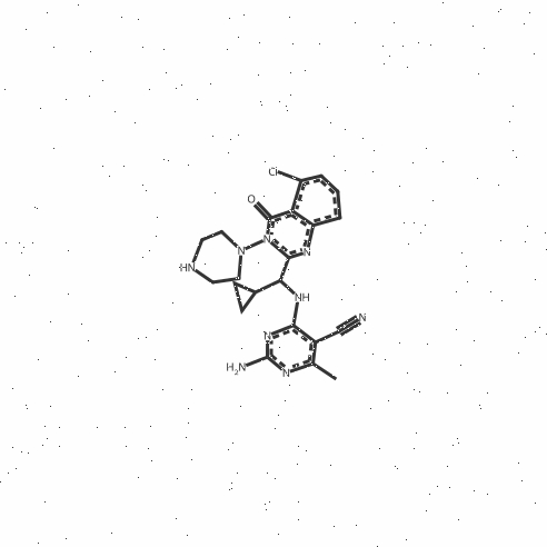 Cc1nc(N)nc(NC(c2nc3cccc(Cl)c3c(=O)n2N2CCNCC2)C2CC2)c1C#N